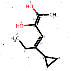 CC/C(=C\C(O)=C(/C)O)C1CC1